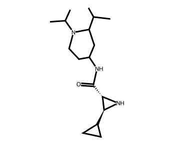 CC(C)C1CC(NC(=O)[C@@H]2N[C@H]2C2CC2)CCN1C(C)C